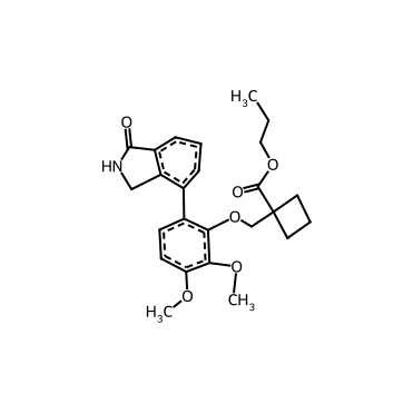 CCCOC(=O)C1(COc2c(-c3cccc4c3CNC4=O)ccc(OC)c2OC)CCC1